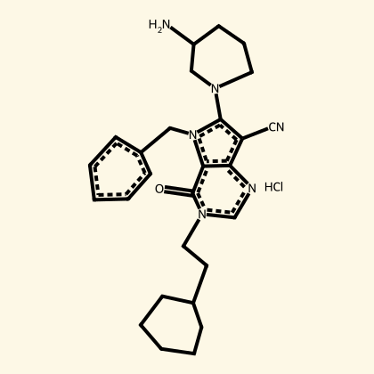 Cl.N#Cc1c(N2CCCC(N)C2)n(Cc2ccccc2)c2c(=O)n(CCC3CCCCC3)cnc12